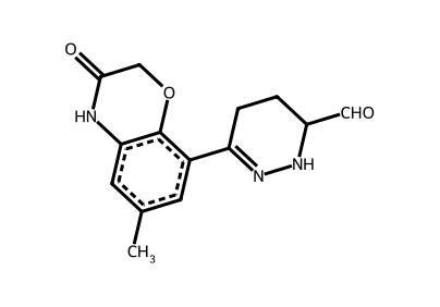 Cc1cc2c(c(C3=NNC(C=O)CC3)c1)OCC(=O)N2